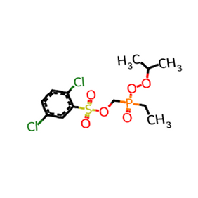 CCP(=O)(COS(=O)(=O)c1cc(Cl)ccc1Cl)OOC(C)C